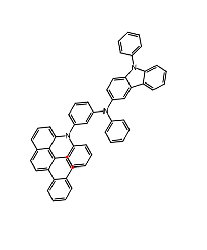 c1ccc(N(c2cccc(N(c3ccccc3)c3cccc4ccc5c6ccccc6ccc5c34)c2)c2ccc3c(c2)c2ccccc2n3-c2ccccc2)cc1